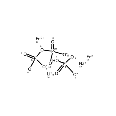 O=P([O-])([O-])O.O=P([O-])([O-])OP(=O)([O-])[O-].[Fe+2].[Fe+2].[Li+].[Na+]